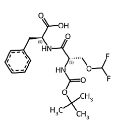 CC(C)(C)OC(=O)N[C@@H](COC(F)F)C(=O)N[C@@H](Cc1ccccc1)C(=O)O